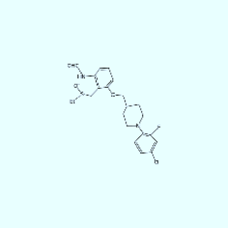 CC[S+]([O-])Cc1c(NC=O)cccc1OCC1CCN(c2ccc(Cl)cc2F)CC1